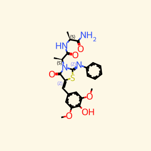 COc1cc(/C=C2\S/C(=N\c3ccccc3)N([C@@H](C)C(=O)N[C@@H](C)C(N)=O)C2=O)cc(OC)c1O